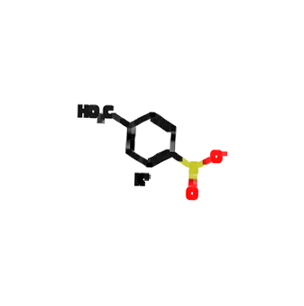 O=C(O)c1ccc(S(=O)[O-])cc1.[K+]